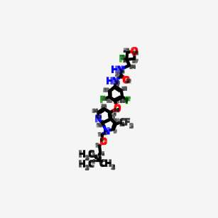 C[Si](C)(C)CCOCn1cc(C(F)(F)F)c2c(Oc3c(F)cc(NC(=O)NCC4(F)COC4)cc3F)ccnc21